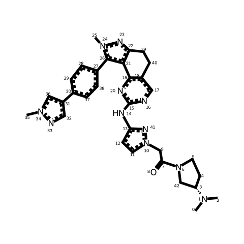 CN(C)[C@H]1CCN(C(=O)Cn2ccc(Nc3ncc4c(n3)-c3c(nn(C)c3-c3ccc(-c5cnn(C)c5)cc3)CC4)n2)C1